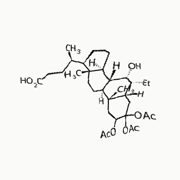 CC[C@H]1[C@@H](O)[C@@H]2[C@H](CC[C@]3(C)[C@@H]([C@H](C)CCC(=O)O)CC[C@@H]23)[C@@]2(C)CC(OC(C)=O)C(OC(C)=O)(OC(C)=O)C[C@@H]12